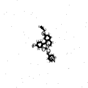 C#CCOc1ccc2c(c1)C(c1ccc(F)cc1)N(C(=O)OCC13CCN(CC1)CC3)CC2